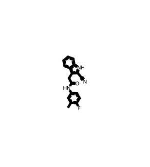 Cc1cc(NC(=O)Cc2c(C#N)[nH]c3ccccc23)ccc1F